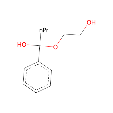 CCCC(O)(OCCO)c1ccccc1